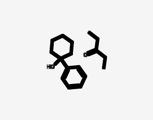 CCC(=O)CC.OC1(c2ccccc2)CCCCC1